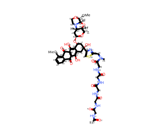 CCC(=O)NCC(=O)NCC(=O)NCC(=O)NCC(=O)NCC(=O)N(C)Cc1nc([C@]2(O)Cc3c(O)c4c(c(O)c3[C@@H](O[C@H]3C[C@H]5[C@H](O[C@@H]6[C@@H](OC)OCCN65)[C@H](C)O3)C2)C(=O)c2c(OC)cccc2C4=O)cs1